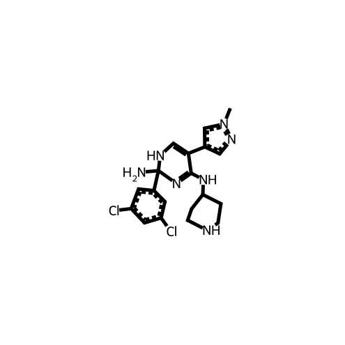 Cn1cc(C2=CNC(N)(c3cc(Cl)cc(Cl)c3)N=C2NC2CCNCC2)cn1